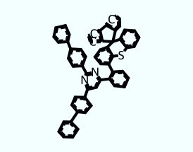 c1ccc(-c2ccc(-c3cc(-c4ccccc4-c4cccc5c4Sc4ccccc4C54c5ccccc5-c5ccccc54)nc(-c4ccc(-c5ccccc5)cc4)n3)cc2)cc1